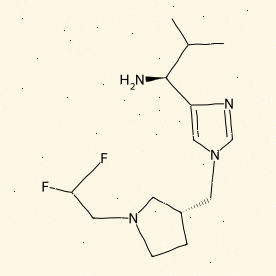 CC(C)[C@H](N)c1cn(C[C@@H]2CCN(CC(F)F)C2)cn1